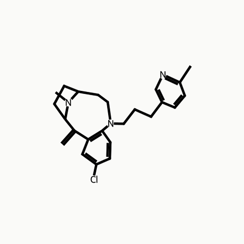 C=C1c2cc(Cl)ccc2N(CCCc2ccc(C)nc2)CCC2CCC1N2C